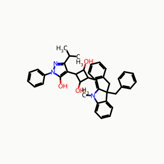 CC(C)c1nn(-c2ccccc2)c(O)c1C1C(O)C(C=C2N(C)c3ccccc3C2(Cc2ccccc2)Cc2ccccc2)C1O